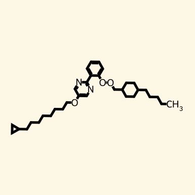 CCCCCC1CCC(COOc2ccccc2-c2ncc(OCCCCCCCCC3CC3)cn2)CC1